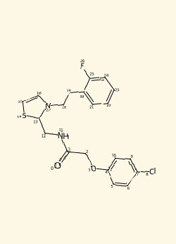 O=C(COc1ccc(Cl)cc1)NCC1SC=CN1CCc1ccccc1F